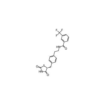 O=C1NC(=O)[C@H](Cc2ccc(CCNC(=O)c3cccc(C(F)(F)F)c3)cc2)S1